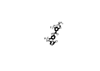 C[C@H](Nc1cncc(Cl)n1)c1cccc(NC(=O)c2cc(/N=C\N(C)C)cc(C(F)(F)F)c2)c1